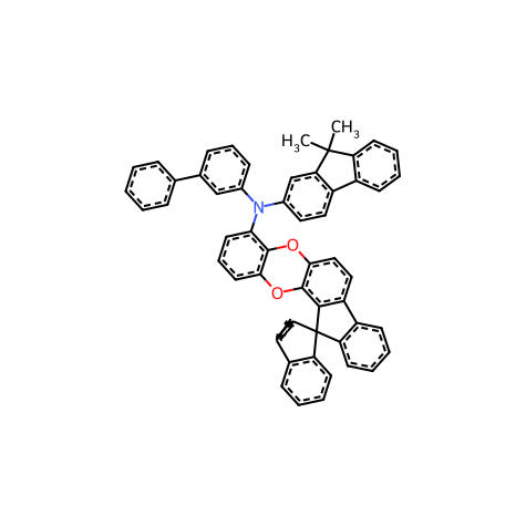 CC1(C)c2ccccc2-c2ccc(N(c3cccc(-c4ccccc4)c3)c3cccc4c3Oc3ccc5c(c3O4)C3(c4ccccc4-c4ccccc43)c3ccccc3-5)cc21